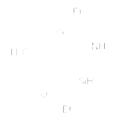 CCOC(C)C(N)([SiH3])OCC